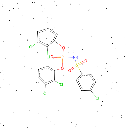 O=P(NS(=O)(=O)c1ccc(Cl)cc1)(Oc1cccc(Cl)c1Cl)Oc1cccc(Cl)c1Cl